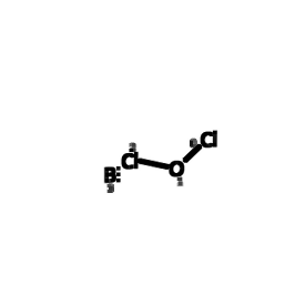 ClOCl.[B]